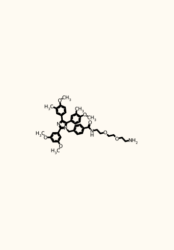 COc1cc(OC)cc(-c2nc(-c3ccc(OC)c(C)c3)c(-c3ccc(OC)c(C)c3)n2Cc2ccc(C(=O)NCCOCCOCCN)cc2)c1